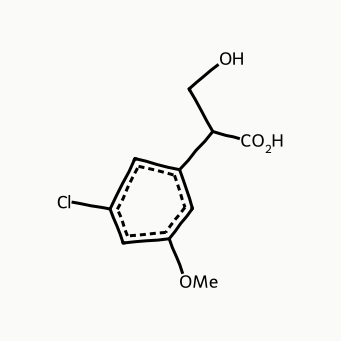 COc1cc(Cl)cc(C(CO)C(=O)O)c1